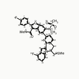 CNC(=O)c1c(-c2ccc(F)cc2)oc2cc(N(C)S(C)(=O)=O)c(-c3ccc4c(n3)-c3cc5c(F)cccc5n3C(CSC)C4)cc12